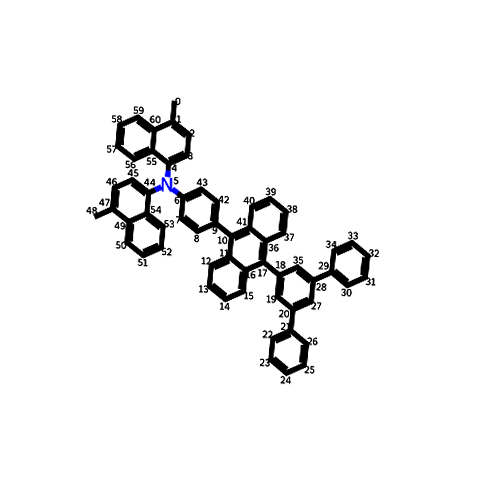 Cc1ccc(N(c2ccc(-c3c4ccccc4c(-c4cc(-c5ccccc5)cc(-c5ccccc5)c4)c4ccccc34)cc2)c2ccc(C)c3ccccc23)c2ccccc12